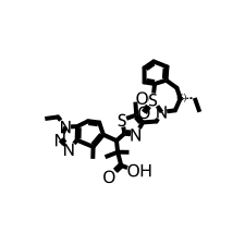 CC[C@H]1Cc2ccccc2S(=O)(=O)N(Cc2nc(C(c3ccc4c(nnn4CC)c3C)C(C)(C)C(=O)O)sc2C)C1